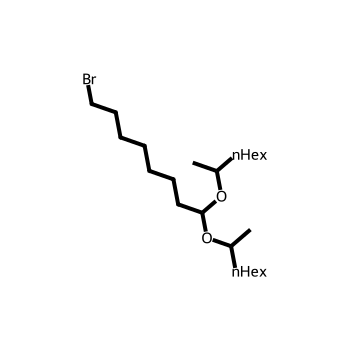 CCCCCCC(C)OC(CCCCCCCBr)OC(C)CCCCCC